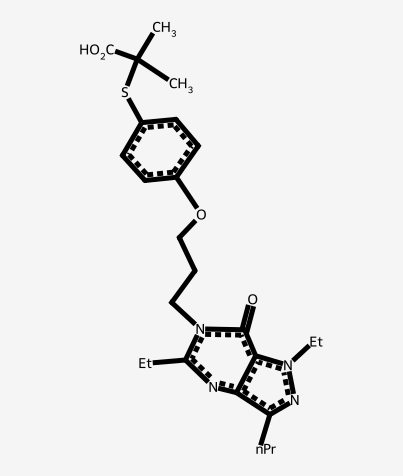 CCCc1nn(CC)c2c(=O)n(CCCOc3ccc(SC(C)(C)C(=O)O)cc3)c(CC)nc12